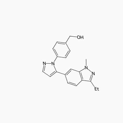 CCc1nn(C)c2cc(-c3ccnn3-c3ccc(CO)cc3)ccc12